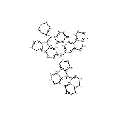 C1=CC(/C(=C2\c3ccccc3-c3ccc(N(c4ccc5c(ccc6ccccc65)c4)c4ccc5c(c4)c4ccccc4n5-c4cccc5ccccc45)cc32)c2ccccc2)=CCC1